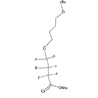 CCCCOCCCCOC(F)(F)C(F)(F)C(F)(F)C(=O)OC